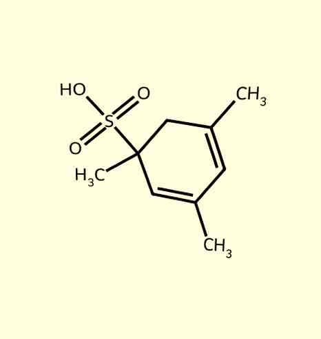 CC1=CC(C)(S(=O)(=O)O)CC(C)=C1